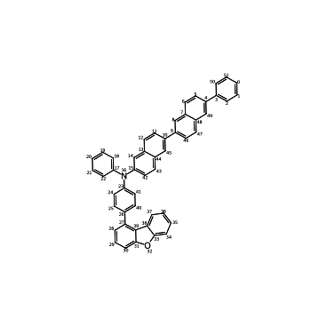 c1ccc(-c2ccc3cc(-c4ccc5cc(N(c6ccccc6)c6ccc(-c7cccc8oc9ccccc9c78)cc6)ccc5c4)ccc3c2)cc1